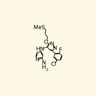 CSCCCOc1nnc(-c2cc(Cl)ccc2F)cc1Nc1ccnc(N)c1